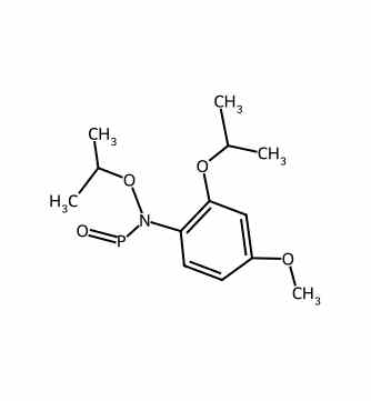 COc1ccc(N(OC(C)C)P=O)c(OC(C)C)c1